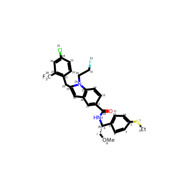 CCSc1ccc([C@H](COC)NC(=O)c2ccc3c(c2)cc(Cc2ccc(Cl)cc2C(F)(F)F)n3CCF)cc1